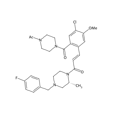 COc1cc(/C=C/C(=O)N2CCN(Cc3ccc(F)cc3)C[C@H]2C)c(C(=O)N2CCN(C(C)=O)CC2)cc1Cl